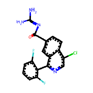 NC(N)=NC(=O)c1ccc2c(Cl)cnc(-c3c(F)cccc3F)c2c1